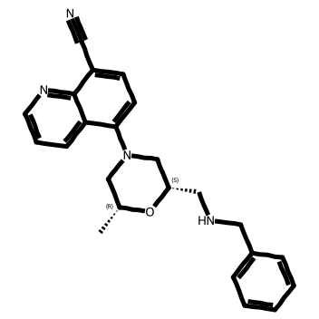 C[C@@H]1CN(c2ccc(C#N)c3ncccc23)C[C@H](CNCc2ccccc2)O1